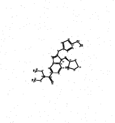 CCOc1ccc(Cc2nc3cc(C(=O)N(CC(F)(F)F)CC(F)(F)F)ccc3n2C[C@H]2CCCN2)cc1